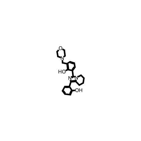 Oc1ccccc1-c1nc(-c2cccc(CN3CCOCC3)c2O)n2c1CCCC2